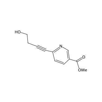 COC(=O)c1ccc(C#CCCO)nc1